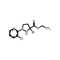 CCOC(=O)C1(Br)CCN(c2ncccc2Cl)N1